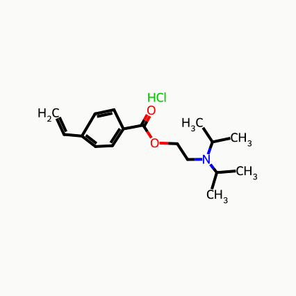 C=Cc1ccc(C(=O)OCCN(C(C)C)C(C)C)cc1.Cl